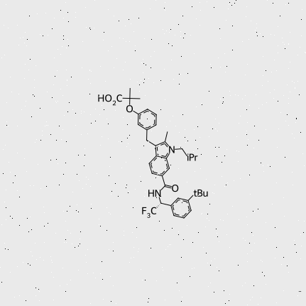 Cc1c(Cc2cccc(OC(C)(C)C(=O)O)c2)c2ccc(C(=O)N[C@H](c3cccc(C(C)(C)C)c3)C(F)(F)F)cc2n1CC(C)C